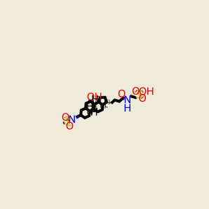 C[C@]12CC[C@H]3[C@@H]([C@@H](O)CC4CC(C#[N+]S(C)(=O)=O)CC[C@@]43C)[C@@H]1CC[C@@H]2CCCC(=O)NCCS(=O)(=O)O